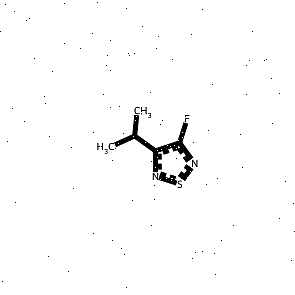 CC(C)c1nsnc1F